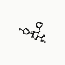 NC(=O)C(=O)[C@H](Cc1ccccc1)NC(=O)c1ccc(F)cc1